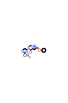 Cc1nccc(N2CCn3nc(COc4ccccc4)cc3C2=O)n1